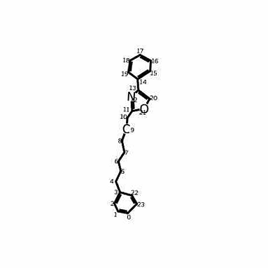 c1ccc(CCCCCCCc2nc(-c3ccccc3)co2)cc1